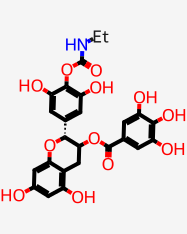 CCNC(=O)Oc1c(O)cc([C@H]2Oc3cc(O)cc(O)c3CC2OC(=O)c2cc(O)c(O)c(O)c2)cc1O